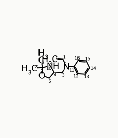 CCN(C[C@H]1COC(C)(C)N1)c1ccccc1